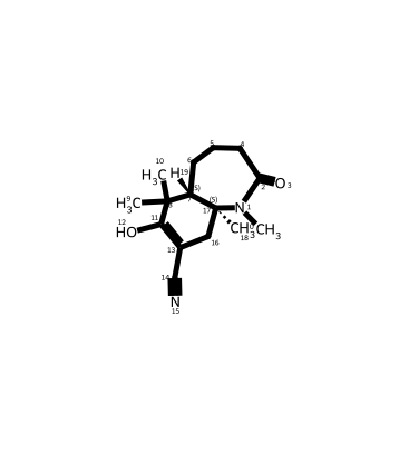 CN1C(=O)CCC[C@H]2C(C)(C)C(O)=C(C#N)C[C@@]21C